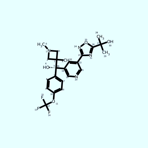 CN1CC(C)([C@](O)(c2ccc(OC(F)(F)F)cc2)c2cncc(-c3noc(C(C)(C)O)n3)c2)C1